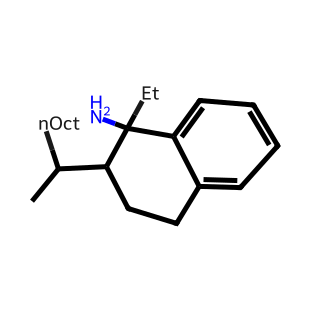 CCCCCCCCC(C)C1CCc2ccccc2C1(N)CC